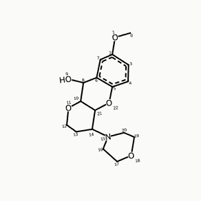 COc1ccc2c(c1)C(O)C1OCCC(N3CCOCC3)C1O2